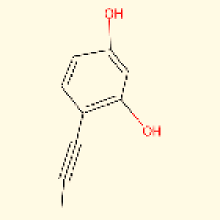 CC#Cc1ccc(O)cc1O